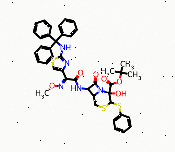 CON=C(C(=O)NC1C(=O)N2C1CSC(Sc1ccccc1)C2(O)C(=O)OC(C)(C)C)c1csc(NC(c2ccccc2)(c2ccccc2)c2ccccc2)n1